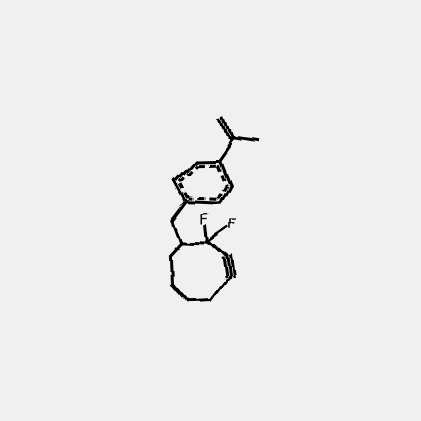 C=C(C)c1ccc(CC2CCCCC#CC2(F)F)cc1